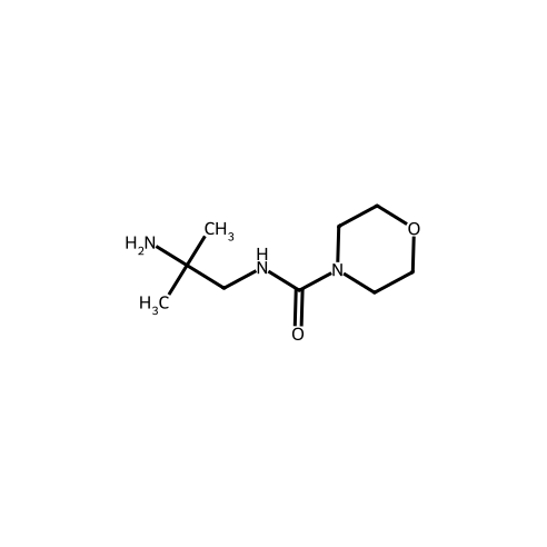 CC(C)(N)CNC(=O)N1CCOCC1